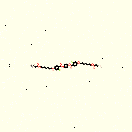 C=CC(=O)OCCCCCCCOc1ccc(C(=O)Oc2ccc(OC(=O)c3ccc(OCCCCCCCOC(=O)C=C)cc3F)cc2)c(F)c1